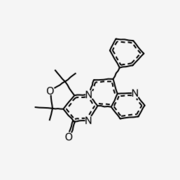 CC1(C)OC(C)(C)c2c1c(=O)nc1c3cccnc3c(-c3ccccc3)cn21